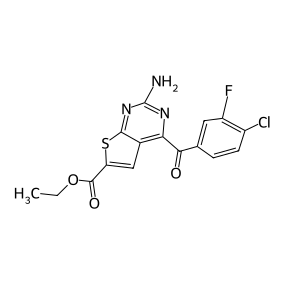 CCOC(=O)c1cc2c(C(=O)c3ccc(Cl)c(F)c3)nc(N)nc2s1